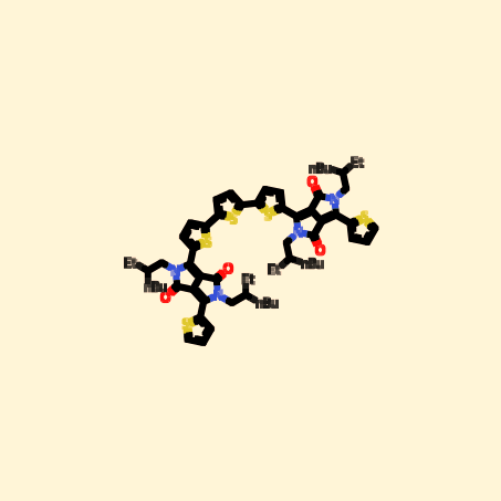 CCCCC(CC)CN1C(=O)C2=C(c3ccc(-c4ccc(-c5ccc(C6=C7C(=O)N(CC(CC)CCCC)C(c8cccs8)=C7C(=O)N6CC(CC)CCCC)s5)s4)s3)N(CC(CC)CCCC)C(=O)C2=C1c1cccs1